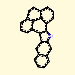 c1ccc2cc3c(cc2c1)[nH]c1c2cccc4ccc5cccc(c31)c5c42